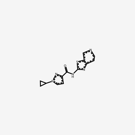 O=C(Nc1nc2ccncc2s1)c1ccn(C2CC2)n1